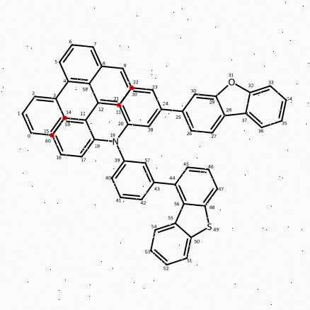 c1ccc(-c2cccc3cccc(-c4ccccc4N(c4cccc(-c5ccc6c(c5)oc5ccccc56)c4)c4cccc(-c5cccc6sc7ccccc7c56)c4)c23)cc1